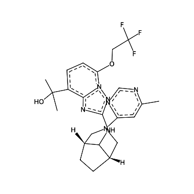 Cc1cc(N2C[C@H]3CC[C@@H](C2)C3Nc2nc3c(C(C)(C)O)ccc(OCC(F)(F)F)n3n2)ncn1